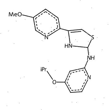 COc1ccc(C2=CSC(Nc3cc(OC(C)C)ccn3)N2)nc1